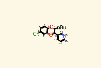 CCCCC(Oc1ccc(Cl)cc1)C(=O)c1cccnc1